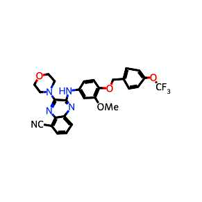 COc1cc(Nc2nc3cccc(C#N)c3nc2N2CCOCC2)ccc1OCc1ccc(OC(F)(F)F)cc1